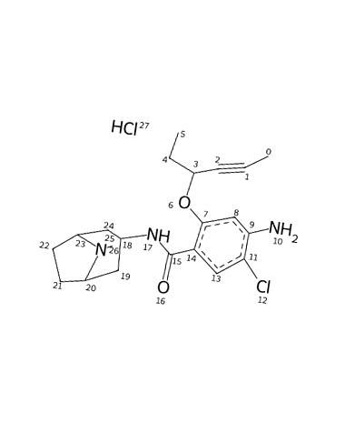 CC#CC(CC)Oc1cc(N)c(Cl)cc1C(=O)NC1CC2CCC(C1)N2C.Cl